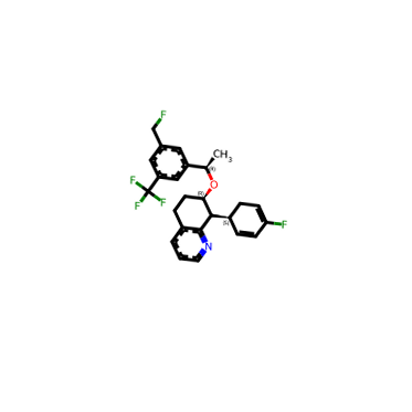 C[C@@H](O[C@@H]1CCc2cccnc2C1[C@@H]1C=CC(F)=CC1)c1cc(CF)cc(C(F)(F)F)c1